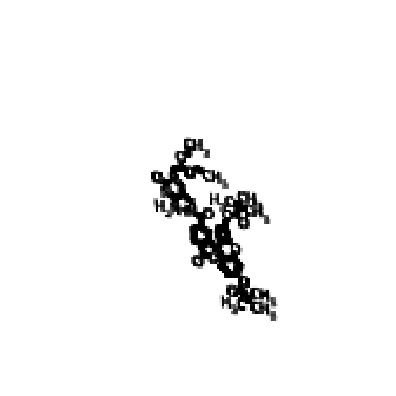 CCOC(Cn1cc(CNC(=O)c2ccc3c(c2)C2(OC3=O)c3ccc(OC(=O)C(C)(C)C)cc3Oc3cc(OC(=O)C(C)(C)C)ccc32)c(N)nc1=O)OCC